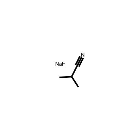 CC(C)C#N.[NaH]